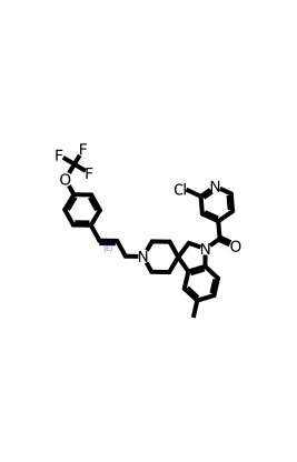 Cc1ccc2c(c1)C1(CCN(C/C=C/c3ccc(OC(F)(F)F)cc3)CC1)CN2C(=O)c1ccnc(Cl)c1